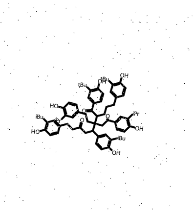 CCC(C)c1cc(CCC(=O)CC(c2ccc(O)c(C(C)CC)c2)C(CCc2ccc(O)c(C(C)C)c2)(CC(=O)c2ccc(O)c(C(C)C)c2)C(CCCc2ccc(O)c(C(C)(C)C)c2)C(=O)c2ccc(O)c(C(C)(C)C)c2)ccc1O